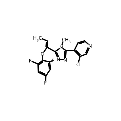 C/C=C(\Oc1c(F)cc(F)cc1F)c1nnc(-c2ccncc2Cl)n1C